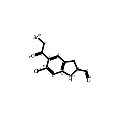 O=CC1Cc2cc(C(=O)CBr)c(Cl)cc2N1